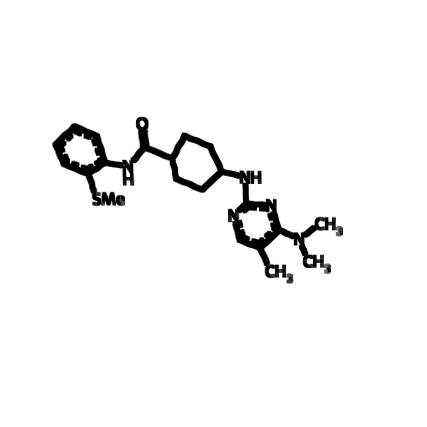 CSc1ccccc1NC(=O)C1CCC(Nc2ncc(C)c(N(C)C)n2)CC1